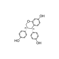 Oc1ccc([C@H]2c3ccc(O)cc3OC[C@H]2c2ccc(O)cc2)cc1